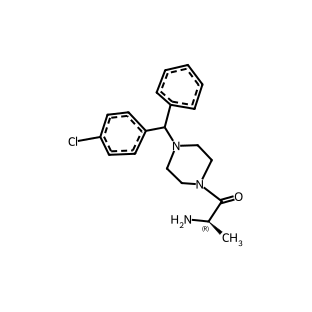 C[C@@H](N)C(=O)N1CCN(C(c2ccccc2)c2ccc(Cl)cc2)CC1